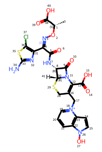 C[C@H](O/N=C(\C(=O)N[C@@H]1C(=O)N2C(C(=O)O)=C(C[n+]3cccc4c3ccn4O)CS[C@H]12)c1nc(N)sc1Cl)C(=O)O